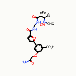 CCCCC[C@@H](C(=O)NCNC(=O)c1ccc(-c2cc(OCC(N)=O)cc(C(=O)O)c2)o1)[C@@H](CC)N(O)C=O